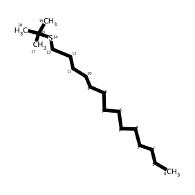 CCCCCCCCCCCCCCSC(C)(C)C